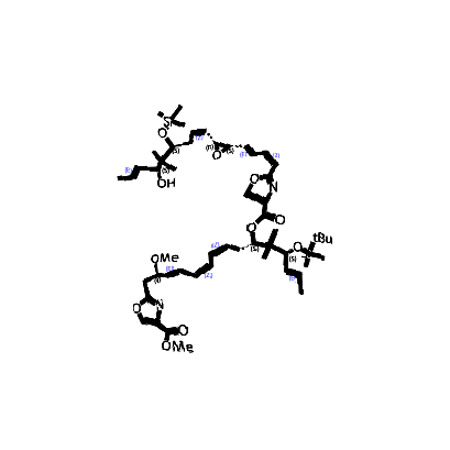 C/C=C/[C@H](O[Si](C)(C)C(C)(C)C)C(C)(C)[C@H](C\C=C/C=C\C=C\[C@@H](Cc1nc(C(=O)OC)co1)OC)OC(=O)c1coc(/C=C\C=C\[C@@H]2O[C@@H]2/C=C\C[C@H](O[Si](C)(C)C)C(C)(C)[C@@H](O)/C=C/C)n1